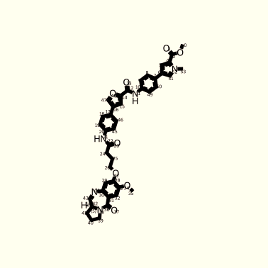 COC(=O)c1cc(-c2ccc(NC(=O)c3cc(-c4ccc(NC(=O)CCCOc5cc6c(cc5OC)C(=O)N5CCC[C@H]5C=N6)cc4)co3)cc2)cn1C